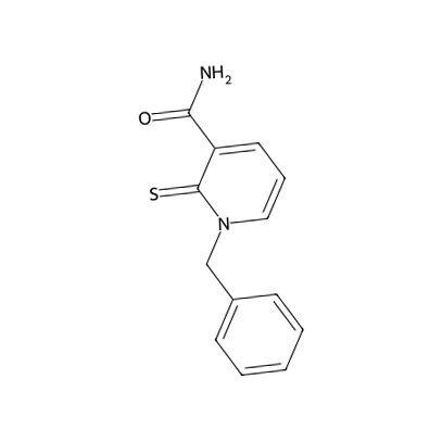 NC(=O)c1cccn(Cc2ccccc2)c1=S